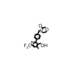 Cc1cc(C(F)(F)F)nc(-c2ccc(CN3CCOCC3=O)cc2)c1CO